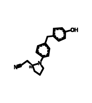 N#CC[C@@H]1CCCN1c1ccc(Cc2ccc(O)cc2)cc1